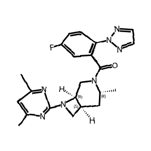 Cc1cc(C)nc(N2C[C@@H]3C[C@@H](C)N(C(=O)c4cc(F)ccc4-n4nccn4)C[C@@H]32)n1